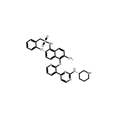 Cc1ccc2c(NS(=O)(=O)Cc3ccccc3C(F)(F)F)cccc2c1Oc1ncccc1-c1ccnc(N[C@H]2CCCNC2)n1